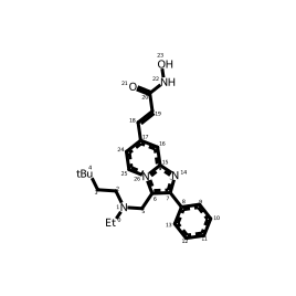 CCN(CCC(C)(C)C)Cc1c(-c2ccccc2)nc2cc(C=CC(=O)NO)ccn12